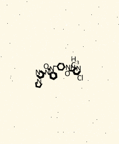 Cc1ncc(Cl)cc1C(=O)N[C@H]1CC[C@H](Cn2c(=O)n(-c3cncc(N4CCCC4)c3)c3ccccc32)CC1